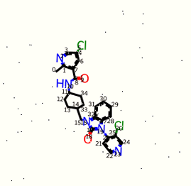 Cc1ncc(Cl)cc1C(=O)NC1CCC(Cn2c(=O)n(-c3ccncc3Cl)c3ccccc32)CC1